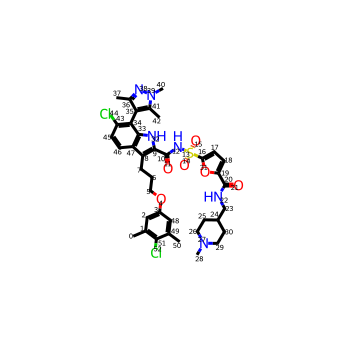 Cc1cc(OCCCc2c(C(=O)NS(=O)(=O)c3ccc(C(=O)NCC4CCN(C)CC4)o3)[nH]c3c(-c4c(C)nn(C)c4C)c(Cl)ccc23)cc(C)c1Cl